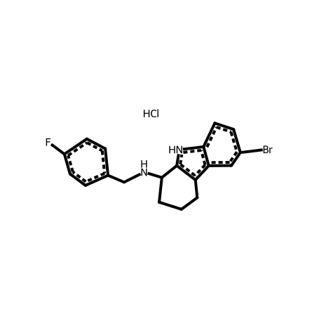 Cl.Fc1ccc(CNC2CCCc3c2[nH]c2ccc(Br)cc32)cc1